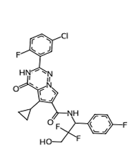 O=C(NC(c1ccc(F)cc1)C(F)(F)CO)c1cn2nc(-c3cc(Cl)ccc3F)[nH]c(=O)c2c1C1CC1